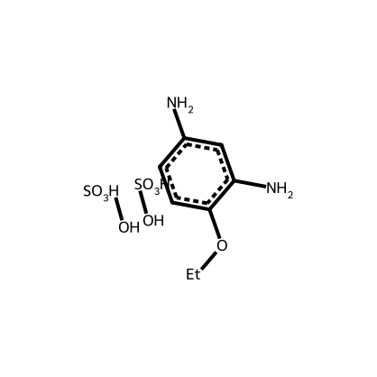 CCOc1ccc(N)cc1N.O=S(=O)(O)O.O=S(=O)(O)O